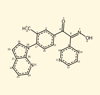 Cc1cc(C(=O)/C(=N/O)c2cnccn2)ccc1-n1ccc2cccnc21